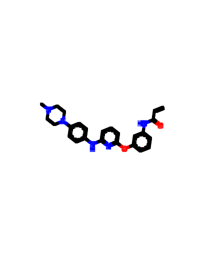 C=CC(=O)Nc1cccc(Oc2cccc(Nc3ccc(N4CCN(C)CC4)cc3)n2)c1